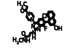 CCC(=O)N1CCN(c2nc(NCCC(=O)NC)nc3c(F)c(-c4cc(O)cc5ccccc45)c(Cl)cc23)CC1